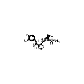 NS(=O)(=O)NC1(CCNc2nonc2C(=NO)Nc2ccc(F)c(Cl)c2)CC1